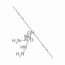 CCCCCC=CCC=CCCCCCCCCN(CCCCCCCCC=CCC=CCCCCC)C(=O)CNC(=O)C(CCCNCCCN)NCCCN